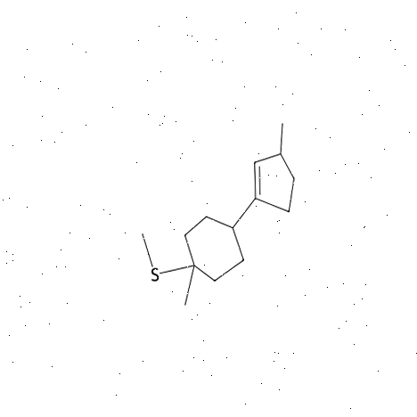 CSC1(C)CCC(C2=CC(C)CC2)CC1